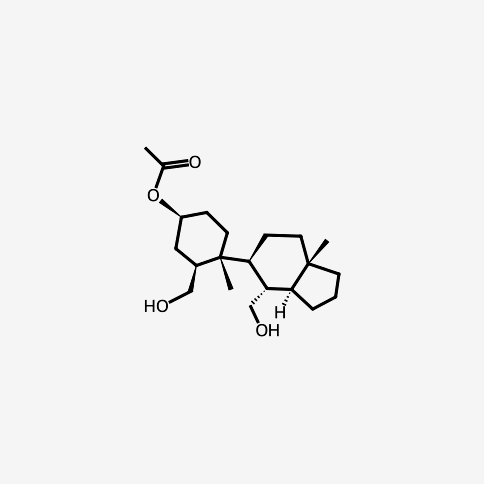 CC(=O)O[C@H]1CC[C@](C)([C@H]2CC[C@]3(C)CCC[C@H]3[C@@H]2CO)[C@@H](CO)C1